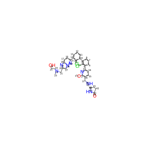 COc1nc(-c2cccc(-c3cccc(-c4ccc5nc(CN(C)CCO)cn5n4)c3Cl)c2Cl)ccc1CNC[C@@H]1CCC(=O)N1